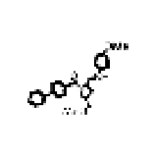 CON=C1CC(CNc2ccc(OC)cc2)N(C(=O)c2ccc(-c3ccccc3)cc2)C1